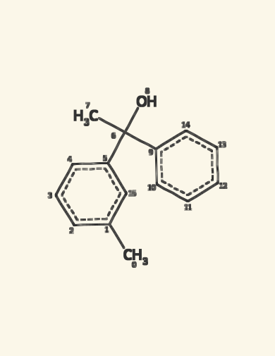 Cc1cccc(C(C)(O)c2ccccc2)c1